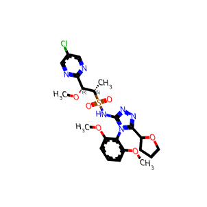 COc1cccc(OC)c1-n1c(NS(=O)(=O)[C@@H](C)[C@H](OC)c2ncc(Cl)cn2)nnc1C1CCCO1